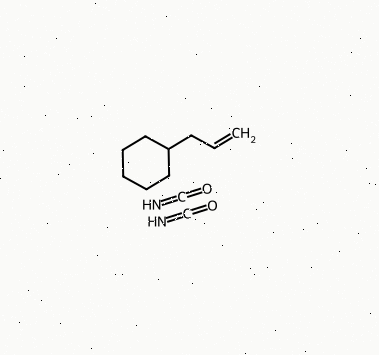 C=CCC1CCCCC1.N=C=O.N=C=O